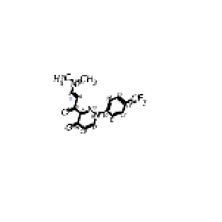 CN(C)/C=C/C(=O)c1nn(-c2ccc(C(F)(F)F)cc2)ccc1=O